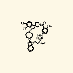 CCOCCn1c(N2CCCN(CC[C@@]3(c4ccc(Cl)c(Cl)c4)CCN(C(=O)c4cc(-n5cnnn5)ccc4OC)C3)CC2)nc2ccccc21